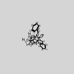 CC(C)[Si](c1nn(Cc2ccccc2)c(=O)n(Cc2ccccc2)c1=O)(C(C)C)C(C)C